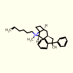 C=CCCCC[N+]1(C)[C@H]2C[C@H](CC(C#N)(c3ccccc3)c3ccccc3)C[C@@H]3CCC321